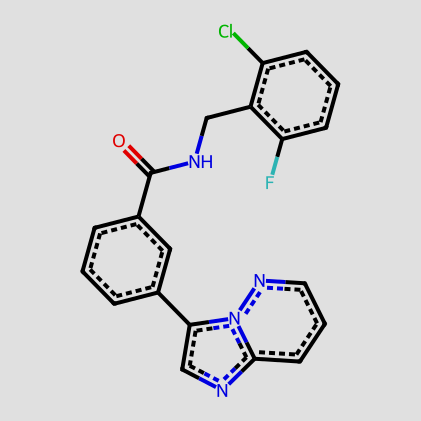 O=C(NCc1c(F)cccc1Cl)c1cccc(-c2cnc3cccnn23)c1